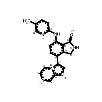 Cc1ccc(Nc2ccc(-c3cnc4cnccn34)c3c2C(=O)NC3)nc1